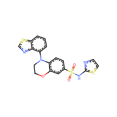 O=S(=O)(Nc1nccs1)c1ccc2c(c1)OCCN2c1cccc2scnc12